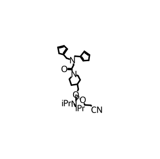 CC(C)N(C(C)C)P(OCCC#N)OCC1CCN(C(=O)CN(CC2=CCC=C2)CC2=CC=CC2)CC1